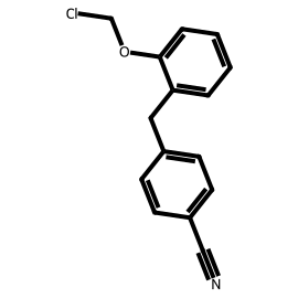 N#Cc1ccc(Cc2ccccc2OCCl)cc1